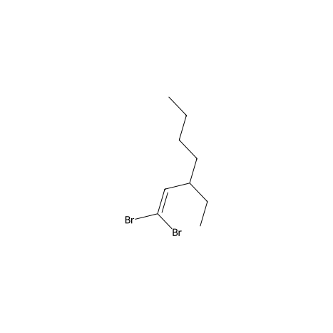 CCCCC(C=C(Br)Br)CC